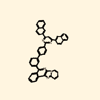 c1cc(-c2ccc(-c3nc(-c4ccc5ccccc5c4)cc(-c4ccc5ccccc5c4)n3)cc2)cc(-c2nc3c(nc4ccccn43)c3ccccc23)c1